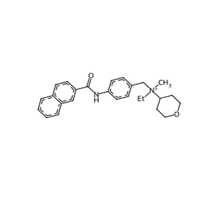 CC[N+](C)(Cc1ccc(NC(=O)c2ccc3ccccc3c2)cc1)C1CCOCC1